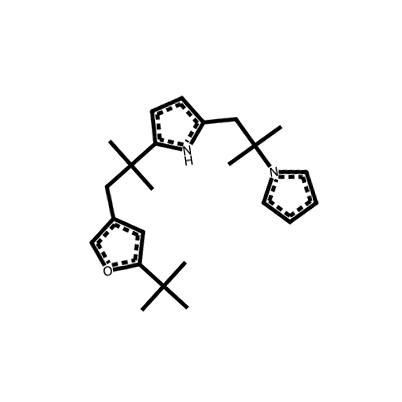 CC(C)(C)c1cc(CC(C)(C)c2ccc(CC(C)(C)n3cccc3)[nH]2)co1